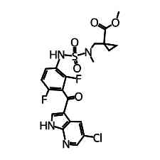 COC(=O)C1(CN(C)S(=O)(=O)Nc2ccc(F)c(C(=O)c3c[nH]c4ncc(Cl)cc34)c2F)CC1